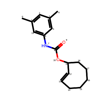 Cc1cc(C)cc(NC(=O)OC2/C=C/CCCCC2)c1